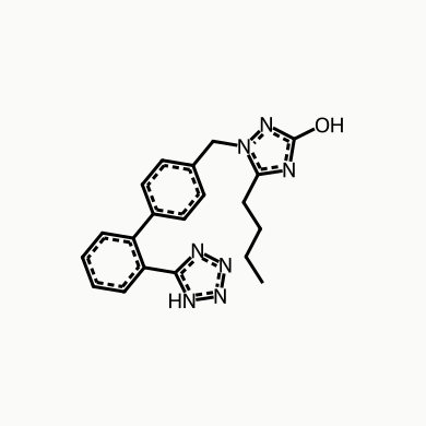 CCCCc1nc(O)nn1Cc1ccc(-c2ccccc2-c2nnn[nH]2)cc1